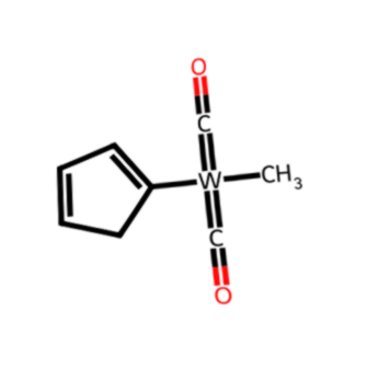 [CH3][W](=[C]=O)(=[C]=O)[C]1=CC=CC1